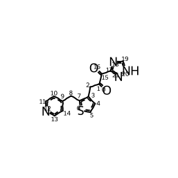 O=C(Cc1ccsc1Cc1ccncc1)C(=O)c1nc[nH]n1